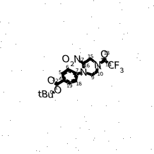 CC(C)(C)OC(=O)c1ccc(N2CCN(C(=O)C(F)(F)F)CC2[N+](=O)[O-])cc1